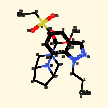 COCCn1ncc2cc(S(=O)(=O)CC(C)(C)C)cc(N3C4CCC3CN(C(=O)OC(C)(C)C)C4)c21